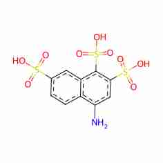 Nc1cc(S(=O)(=O)O)c(S(=O)(=O)O)c2cc(S(=O)(=O)O)ccc12